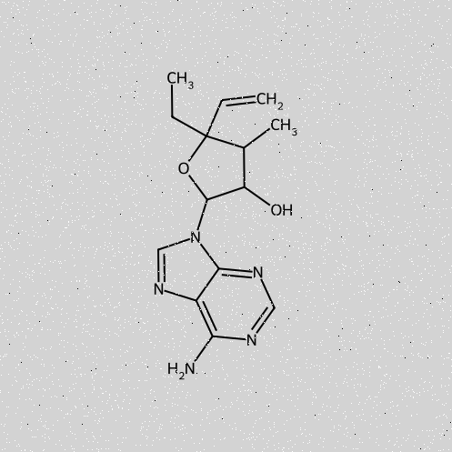 C=CC1(CC)OC(n2cnc3c(N)ncnc32)C(O)C1C